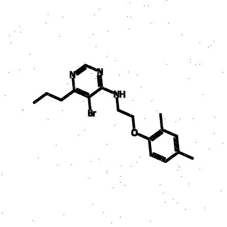 CCCc1ncnc(NCCOc2ccc(C)cc2C)c1Br